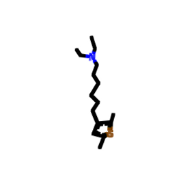 CCN(CC)CCCCCCc1cc(C)sc1C